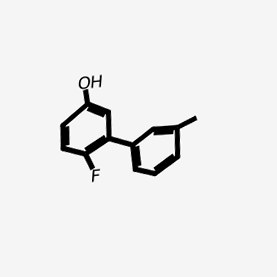 Cc1cccc(-c2cc(O)ccc2F)c1